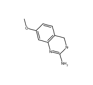 COc1ccc2c(c1)N=C(N)[N]C2